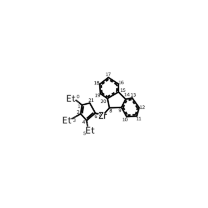 CCC1=C(CC)C(CC)=[C]([Zr][CH]2c3ccccc3-c3ccccc32)C1